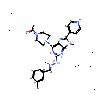 CC(=O)N1CCN(c2nc(N/N=C/c3cccc(C)c3)nc3c2nc(-c2ccncc2)n3C)CC1